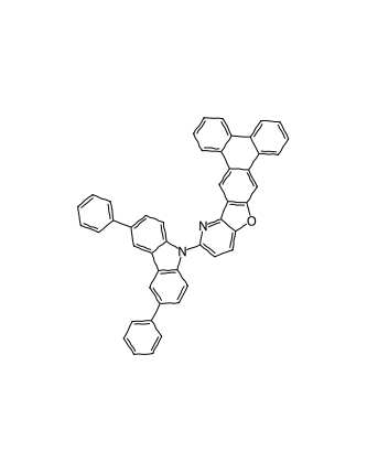 c1ccc(-c2ccc3c(c2)c2cc(-c4ccccc4)ccc2n3-c2ccc3oc4cc5c6ccccc6c6ccccc6c5cc4c3n2)cc1